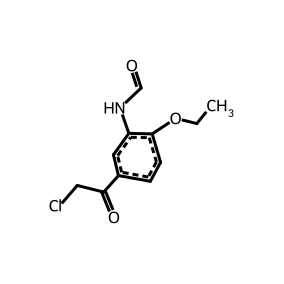 CCOc1ccc(C(=O)CCl)cc1NC=O